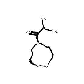 CC(C)C(=O)N1CCSSCC1